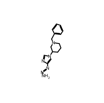 NN=Nc1cn(C2CCCN(Cc3ccccc3)C2)cn1